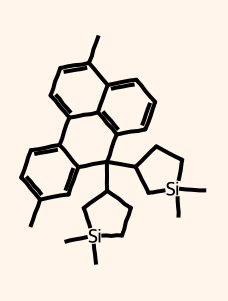 Cc1ccc2c(c1)C(C1CC[Si](C)(C)C1)(C1CC[Si](C)(C)C1)c1cccc3c(C)ccc-2c13